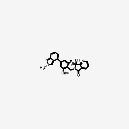 BC1(B)c2ncccc2C(=O)N1Cc1c(F)cc(-c2cccc3nn(C)cc23)cc1OCC(C)C